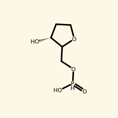 O=[PH](O)OCC1OCC[C@H]1O